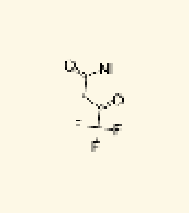 O=[C]([Ni])CC(=O)C(F)(F)F